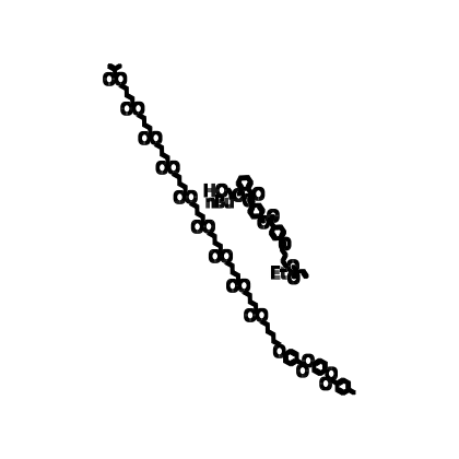 C=C(C)C(=O)OCCCCC(=O)OCCCCC(=O)OCCCCC(=O)OCCCCC(=O)OCCCCC(=O)OCCCCC(=O)OCCCCC(=O)OCCCCC(=O)OCCCCCCOc1ccc(C(=O)Oc2ccc(OC(=O)c3ccc(C)cc3)cc2)cc1.C=CC(=O)OC(CC)CCCOc1ccc(C(=O)Oc2ccc(OC(=O)c3ccccc3OC(CO)CCCC)cc2)cc1